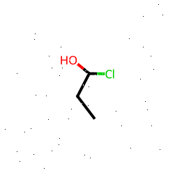 CCC(O)Cl